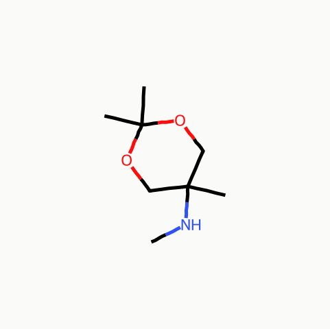 CNC1(C)COC(C)(C)OC1